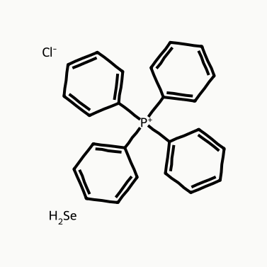 [Cl-].[SeH2].c1ccc([P+](c2ccccc2)(c2ccccc2)c2ccccc2)cc1